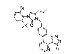 CCCc1cn(-c2c(Br)cccc2C(C)(C)C)c(=O)n1Cc1ccc(-c2cccnc2-c2nnn[nH]2)cc1